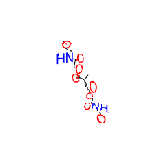 COCCNC(=O)COC(=O)/C=C(\C)C(=O)OCC(=O)NCCOC